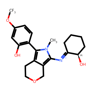 Cn1c(/N=C2\CCCC[C@H]2O)c2c(c1-c1ccc(OC(F)(F)F)cc1O)CCOC2